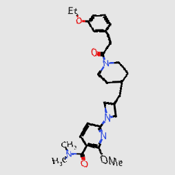 CCOc1cccc(CC(=O)N2CCC(CC3CN(c4ccc(C(=O)N(C)C)c(OC)n4)C3)CC2)c1